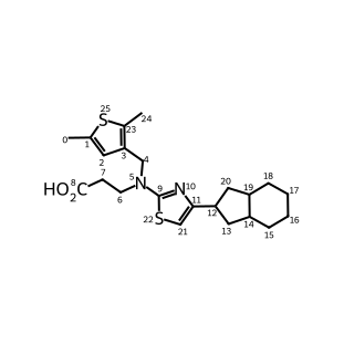 Cc1cc(CN(CCC(=O)O)c2nc(C3CC4CCCCC4C3)cs2)c(C)s1